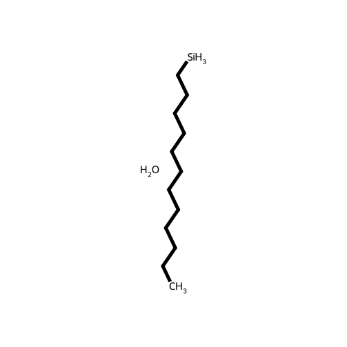 CCCCCCCCCCCC[SiH3].O